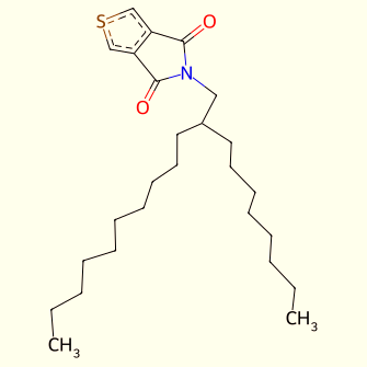 CCCCCCCCCCC(CCCCCCCC)CN1C(=O)c2cscc2C1=O